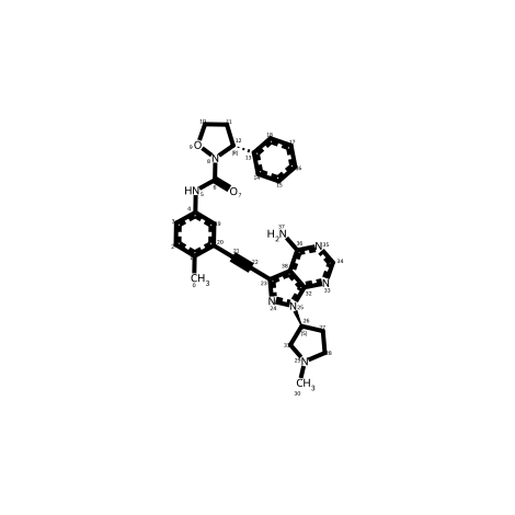 Cc1ccc(NC(=O)N2OCC[C@@H]2c2ccccc2)cc1C#Cc1nn([C@H]2CCN(C)C2)c2ncnc(N)c12